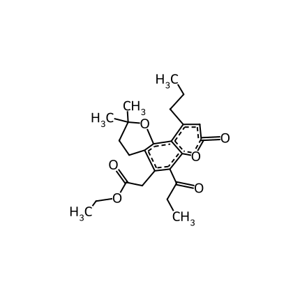 CCCc1cc(=O)oc2c(C(=O)CC)c(CC(=O)OCC)c3c(c12)OC(C)(C)CC3